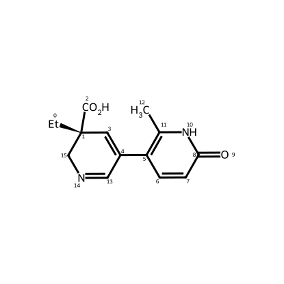 CC[C@@]1(C(=O)O)C=C(c2ccc(=O)[nH]c2C)C=NC1